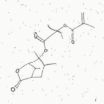 C=C(C)C(=O)OC(C)(C)C(=O)OC1(C)C(C)CC2C(=O)OC1C2C